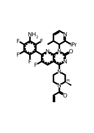 C=CC(=O)N1CCN(c2nc(=O)n(C3C(C(C)C)=NC=CC3C)c3nc(-c4c(F)c(N)c(F)c(F)c4F)c(F)cc23)C[C@H]1C